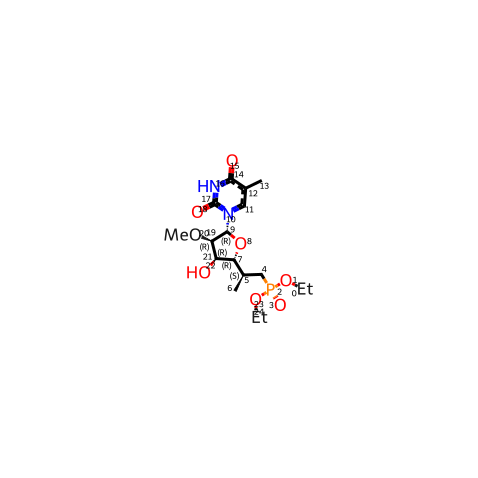 CCOP(=O)(C[C@@H](C)[C@H]1O[C@@H](n2cc(C)c(=O)[nH]c2=O)[C@H](OC)[C@@H]1O)OCC